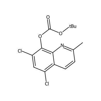 Cc1ccc2c(Cl)cc(Cl)c(OC(=O)OC(C)(C)C)c2n1